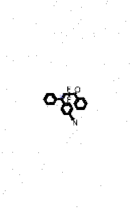 N#Cc1ccc(/C(=C\C(F)(F)C(=O)c2ccccc2)c2ccccc2)cc1